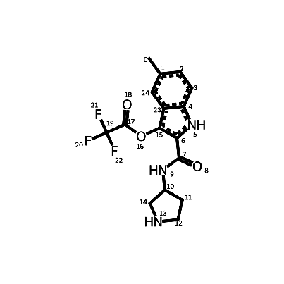 Cc1ccc2[nH]c(C(=O)NC3CCNC3)c(OC(=O)C(F)(F)F)c2c1